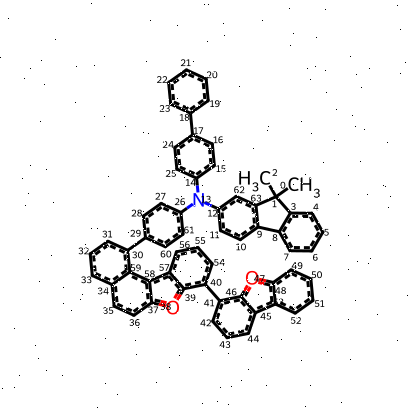 CC1(C)c2ccccc2-c2ccc(N(c3ccc(-c4ccccc4)cc3)c3ccc(-c4cccc5ccc6oc7c(-c8cccc9c8oc8ccccc89)cccc7c6c45)cc3)cc21